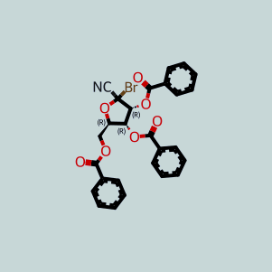 N#CC1(Br)O[C@H](COC(=O)c2ccccc2)[C@@H](OC(=O)c2ccccc2)[C@H]1OC(=O)c1ccccc1